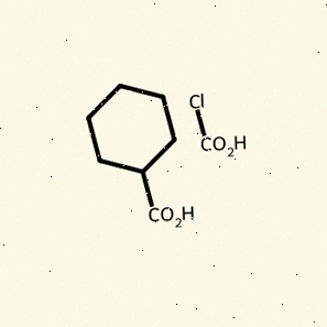 O=C(O)C1CCCCC1.O=C(O)Cl